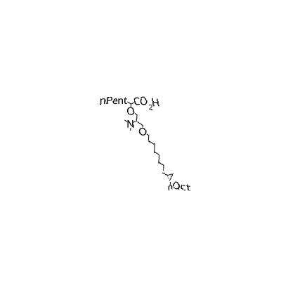 CCCCCCCCC1CC1CCCCCCCCOCC(COC(CCCCC)C(=O)O)N(C)C